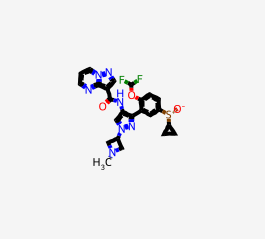 CN1CC(n2cc(NC(=O)c3cnn4cccnc34)c(-c3cc([S+]([O-])C4CC4)ccc3OC(F)F)n2)C1